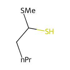 CCCCC(S)SC